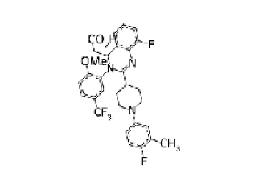 COc1ccc(C(F)(F)F)cc1N1C(C2CCN(c3ccc(F)c(C)c3)CC2)=Nc2c(F)cccc2C1CC(=O)O